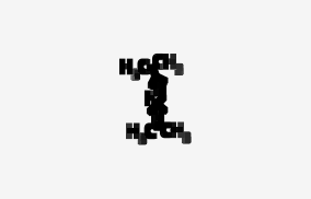 CC(C)C1CN(CC2(F)CN(C(C)C)C2)C1